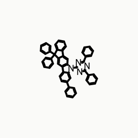 c1ccc(-c2ccc3c4cc5c(cc4n(-c4nc(-c6ccccc6)nc(-c6ccccc6)n4)c3c2)-c2ccccc2C5(c2ccccc2)c2ccccc2)cc1